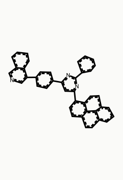 c1ccc(-c2nc(-c3ccc(-c4cncc5ccccc45)cc3)cc(-c3ccc4ccc5cccc6ccc3c4c56)n2)cc1